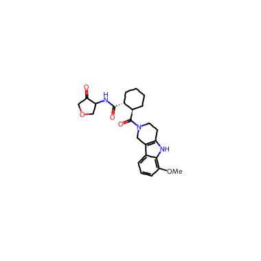 COc1cccc2c3c([nH]c12)CCN(C(=O)[C@@H]1CCCC[C@H]1C(=O)NC1COCC1=O)C3